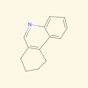 c1ccc2c3c(cnc2c1)CCCC3